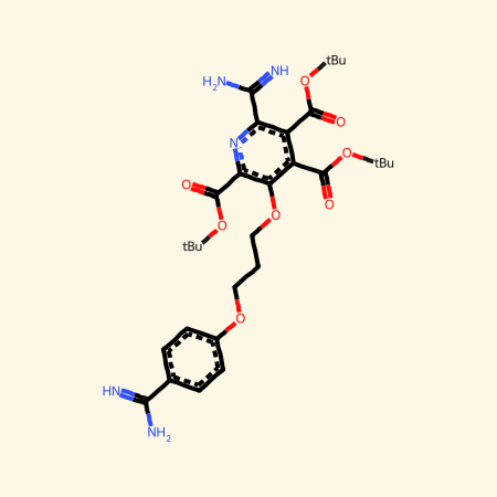 CC(C)(C)OC(=O)c1nc(C(=N)N)c(C(=O)OC(C)(C)C)c(C(=O)OC(C)(C)C)c1OCCCOc1ccc(C(=N)N)cc1